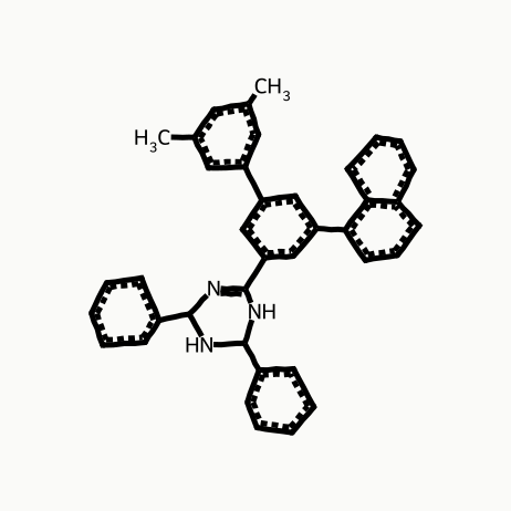 Cc1cc(C)cc(-c2cc(C3=NC(c4ccccc4)NC(c4ccccc4)N3)cc(-c3cccc4ccccc34)c2)c1